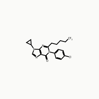 O=c1c2ncn(C3CC3)c2nc(CCCCC(F)(F)F)n1-c1ccc(Cl)cc1